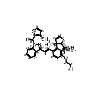 COc1c(OCCCl)ccc(/C=C/c2nn(C(=O)c3sccc3C)c3ccccc23)c1C1(C)C=CSC1C(N)=O